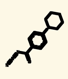 [N-]=[N+]=NC(=O)c1ccc(N2CCCCC2)cc1